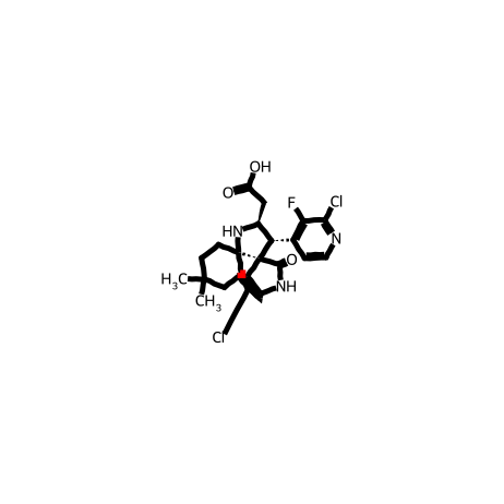 CC1(C)CCC2(CC1)N[C@@H](CC(=O)O)[C@H](c1ccnc(Cl)c1F)[C@]21C(=O)Nc2cc(Cl)ccc21